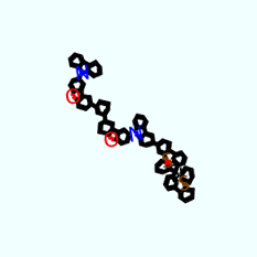 c1ccc([Si](c2ccccc2)(c2cccc3c2sc2ccccc23)c2cccc3c2sc2cc(-c4ccc5c(c4)c4ccccc4n5-c4ccc5oc6ccc(-c7cccc(-c8ccc9oc%10ccc(-n%11c%12ccccc%12c%12ccccc%12%11)cc%10c9c8)c7)cc6c5c4)ccc23)cc1